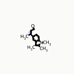 C/C(=C/C=O)c1ccc2c(c1)c(C)c(C)n2C